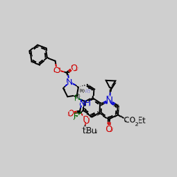 CCOC(=O)c1cn(C2CC2)c2c(/C=C\[C@@H]3[C@H](NC(=O)OC(C)(C)C)CCN3C(=O)OCc3ccccc3)c(F)c(F)cc2c1=O